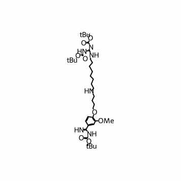 COc1cc(C(=N)NC(=O)OC(C)(C)C)ccc1OCCCCNCCCCCCCCN/C(=N/C(=O)OC(C)(C)C)NC(=O)OC(C)(C)C